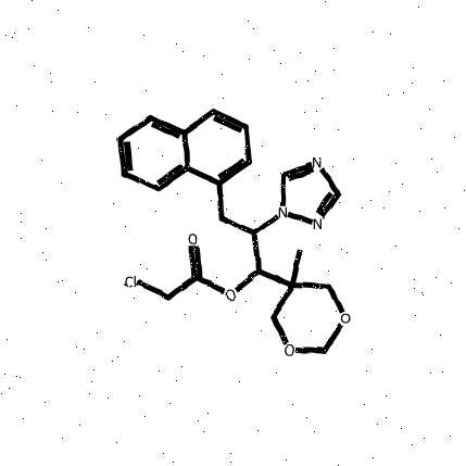 CC1(C(OC(=O)CCl)C(Cc2cccc3ccccc23)n2cncn2)COCOC1